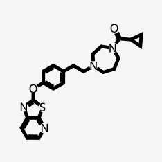 O=C(C1CC1)N1CCCN(CCc2ccc(Oc3nc4cccnc4s3)cc2)CC1